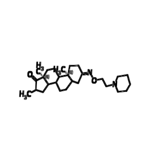 CC1CC2C3CCC4CC(=NOCCN5CCCCC5)CC[C@]4(C)C3CC[C@]2(C)C1=O